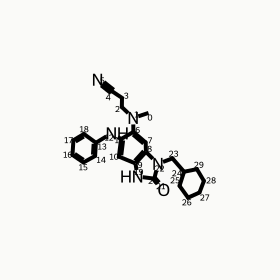 CN(CCC#N)c1cc2c(cc1Nc1ccccc1)[nH]c(=O)n2CC1CCCCC1